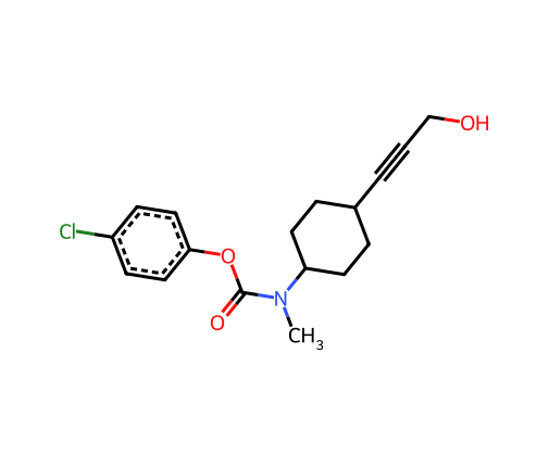 CN(C(=O)Oc1ccc(Cl)cc1)C1CCC(C#CCO)CC1